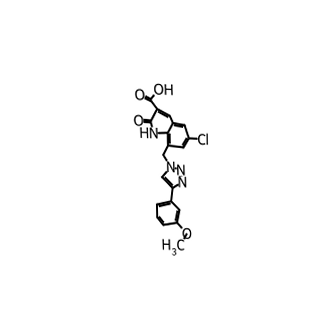 COc1cccc(-c2cn(Cc3cc(Cl)cc4cc(C(=O)O)c(=O)[nH]c34)nn2)c1